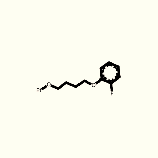 CCOCCCCOc1ccc[c]c1F